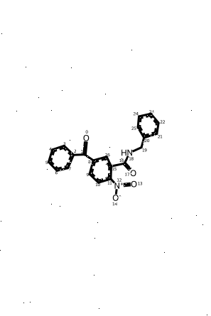 O=C(c1ccccc1)c1ccc([N+](=O)[O-])c(C(=O)NCc2ccccc2)c1